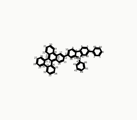 c1ccc(-c2ccc3c4ccc(-c5ccc6c(c5)c5ccccc5c5c7ccccc7c7ccccc7c65)cc4n(-c4ccccc4)c3c2)cc1